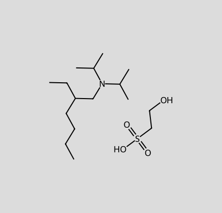 CCCCC(CC)CN(C(C)C)C(C)C.O=S(=O)(O)CCO